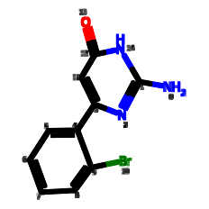 Nc1nc(-c2ccccc2Br)cc(=O)[nH]1